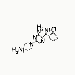 CC1(N)CCN(c2cnc(C(=N)c3ccccc3Cl)c(N)n2)CC1